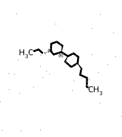 CCCCC[C@H]1CC[C@@H]([C@@H]2CCC[C@@H](CCC)C2)CC1